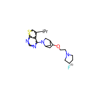 CC(C)c1csc2ncnc(N3CC4CC3CC4OCCN3CC[C@H](F)C3)c12